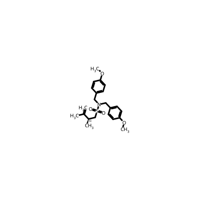 C=C(C)[C@H](C)CS(=O)(=O)N(Cc1ccc(OC)cc1)Cc1ccc(OC)cc1